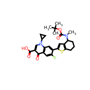 CN(C(=O)OC(C)(C)C)C1CCCc2sc(-c3cc4c(cc3F)c(=O)c(C(=O)O)cn4C3CC3)cc21